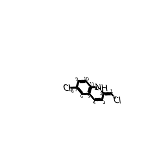 Cl/C=C1\C=Cc2cc(Cl)ccc2N1